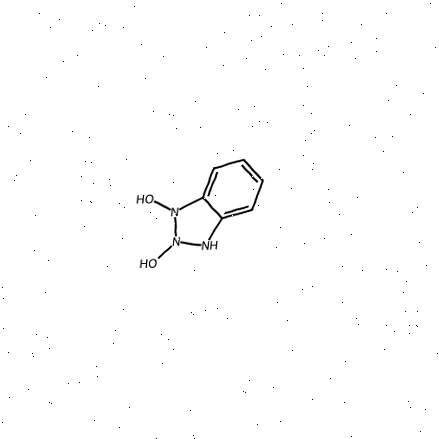 ON1Nc2ccccc2N1O